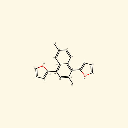 Cc1ccc2c(-c3ccco3)c(C)cc(-c3ccco3)c2c1